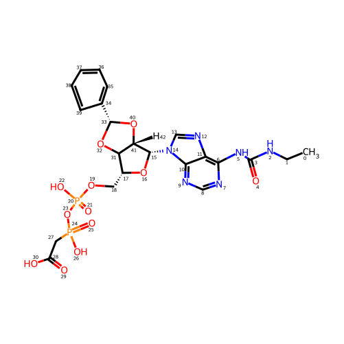 CCNC(=O)Nc1ncnc2c1ncn2[C@@H]1O[C@H](COP(=O)(O)OP(=O)(O)CC(=O)O)C2O[C@H](c3ccccc3)O[C@@H]21